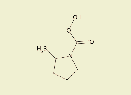 BC1CCCN1C(=O)OO